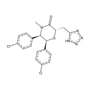 CN1C(=O)[C@H](Cc2nnn[nH]2)O[C@@H](c2ccc(Cl)cc2)[C@H]1c1ccc(Cl)cc1